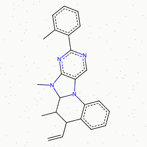 C=CC1c2ccccc2N2c3cnc(-c4ccccc4C)nc3N(C)C2C1C